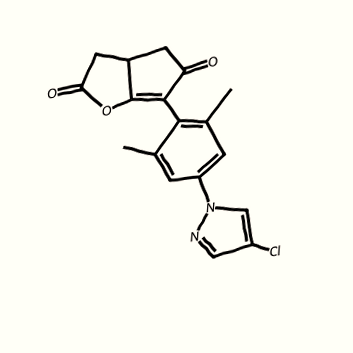 Cc1cc(-n2cc(Cl)cn2)cc(C)c1C1=C2OC(=O)CC2CC1=O